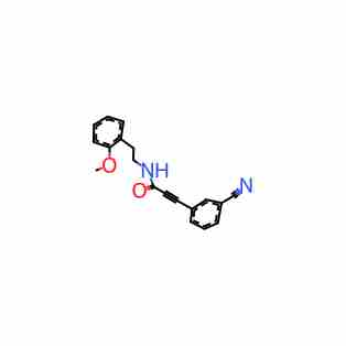 COc1ccccc1CCNC(=O)C#Cc1cccc(C#N)c1